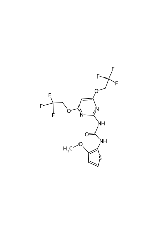 COc1ccsc1NC(=O)Nc1nc(OCC(F)(F)F)cc(OCC(F)(F)F)n1